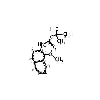 COc1c(NC(=O)OC(C)(C)C)ccc2ccccc12